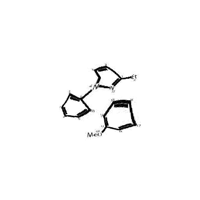 CCc1ccn(-c2ccccc2)n1.COc1ccccc1